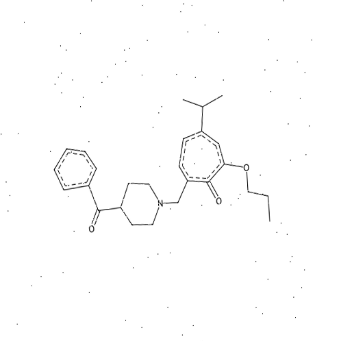 CCCOc1cc(C(C)C)ccc(CN2CCC(C(=O)c3ccccc3)CC2)c1=O